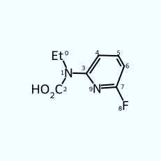 CCN(C(=O)O)c1cccc(F)n1